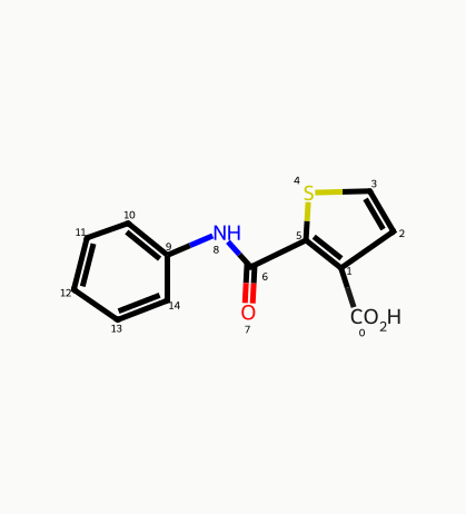 O=C(O)c1ccsc1C(=O)Nc1ccccc1